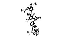 COc1ccc(CNc2cc(Cl)cc(-c3n[nH]cc3-c3ccnc(NC[C@H](C)NC(=O)O)n3)c2F)cc1OC